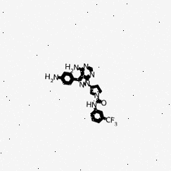 Nc1ccc(-c2nn([C@H]3CCN(C(=O)Nc4cccc(C(F)(F)F)c4)C3)c3ncnc(N)c23)cc1